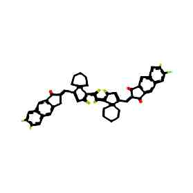 O=C1/C(=C/C2=Cc3sc4c5c(sc4c3C23CCCCC3)C=C(C=C2C(=O)c3cc4cc(F)c(F)cc4cc3C2=O)C52CCCCC2)Cc2cc3cc(F)c(F)cc3cc21